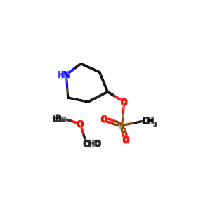 CC(C)(C)OC=O.CS(=O)(=O)OC1CCNCC1